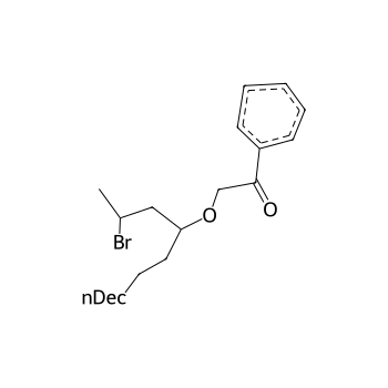 CCCCCCCCCCCCC(CC(C)Br)OCC(=O)c1ccccc1